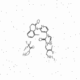 Cc1cccc2c1N(c1cc(-n3cnn(CC(CN)=C(F)F)c3=O)ccn1)C(=O)CC2.O=C(O)C(F)(F)F